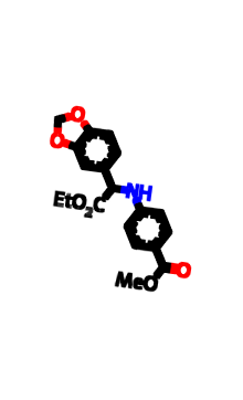 CCOC(=O)C(Nc1ccc(C(=O)OC)cc1)c1ccc2c(c1)OCO2